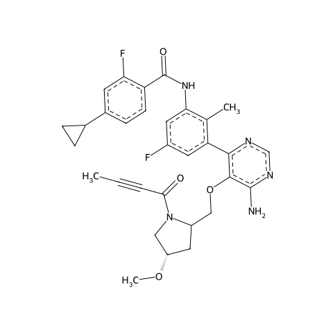 CC#CC(=O)N1C[C@@H](OC)CC1COc1c(N)ncnc1-c1cc(F)cc(NC(=O)c2ccc(C3CC3)cc2F)c1C